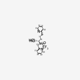 Cl.Cl.O=C(N(CCCSc1ccccn1)Cc1ccccn1)C(F)(F)F